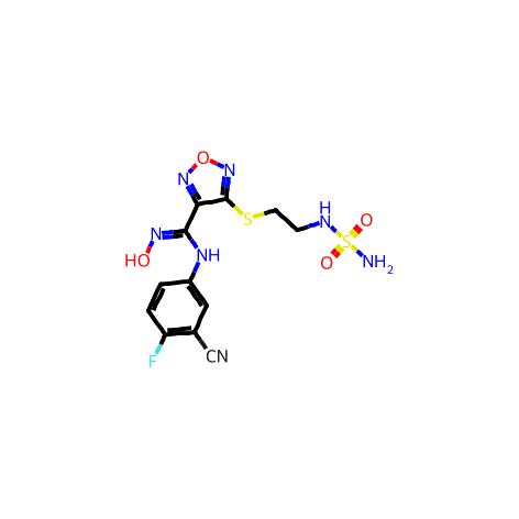 N#Cc1cc(N/C(=N\O)c2nonc2SCCNS(N)(=O)=O)ccc1F